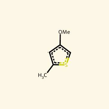 COc1[c]c(C)sc1